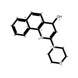 OC1C=C(N2CCOCC2)Oc2c1ccc1ccccc21